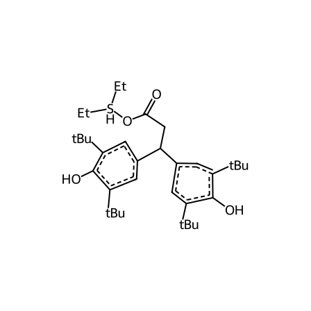 CC[SH](CC)OC(=O)CC(c1cc(C(C)(C)C)c(O)c(C(C)(C)C)c1)c1cc(C(C)(C)C)c(O)c(C(C)(C)C)c1